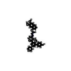 C=N/C(=C\C=C(/C)Oc1ccnc2cc(OC)c(OC)cc12)NC(=O)c1cn(C2CCOCC2)cc(-c2ccc(C)cc2)c1=O